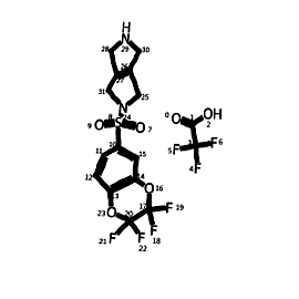 O=C(O)C(F)(F)F.O=S(=O)(c1ccc2c(c1)OC(F)(F)C(F)(F)O2)N1CC2=C(CNC2)C1